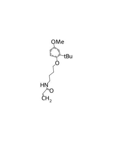 C=CC(=O)NCCCCOc1ccc(OC)cc1C(C)(C)C